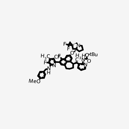 COc1ccc(CNc2nc(-c3cc4c5c(cc(OC[C@@]67CCCN6C[C@]6(CC6(F)F)C7)cc5c3F)C([C@@H](C)c3cccnc3NC(=O)OC(C)(C)C)CCC4)c(C(F)(F)F)c(C)c2F)cc1